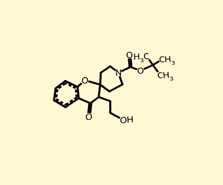 CC(C)(C)OC(=O)N1CCC2(CC1)Oc1ccccc1C(=O)C2CCO